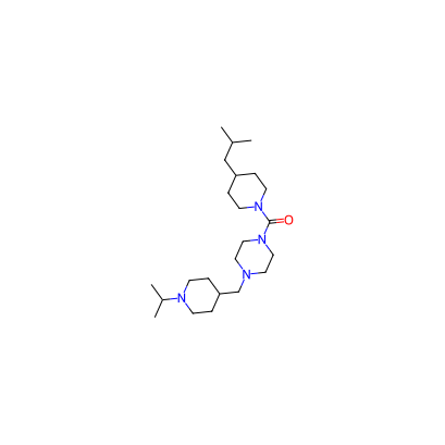 CC(C)CC1CCN(C(=O)N2CCN(CC3CCN(C(C)C)CC3)CC2)CC1